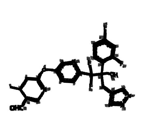 CC1CC(Oc2ccc(C(F)(F)C(O)(Cn3cnnn3)c3ccc(F)cc3F)nc2)=NC=C1C=O